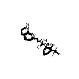 O=C(NCCc1ccc2c(n1)NCCC2)Nc1cccc(C(F)(F)F)c1F